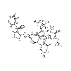 CCOC(=O)C(C)(C)Cc1c(SC(C)(C)C)c2cc(OCC3CCCN3C(=O)c3cccnc3)ccc2n1Cc1ccc(Cl)cc1